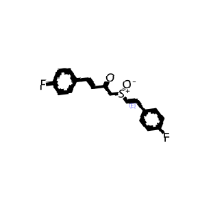 O=C(C=Cc1ccc(F)cc1)C[S+]([O-])/C=C/c1ccc(F)cc1